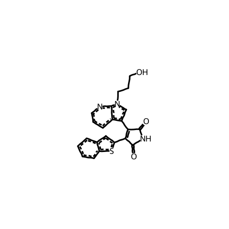 O=C1NC(=O)C(c2cn(CCCO)c3ncccc23)=C1c1cc2ccccc2s1